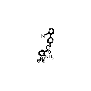 N#Cc1ccccc1-c1ccc(COC(=O)c2cccc([N+](=O)[O-])c2N)cc1